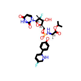 CC(C)OC(=O)[C@H](C)NP(=O)(OC[C@H]1O[C@@H](n2ccc(=O)[nH]c2=O)[C@](C)(F)[C@@H]1O)Oc1ccc(C2=CC=C(F)CN2)cc1